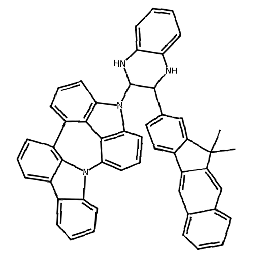 CC1(C)c2cc(C3Nc4ccccc4NC3n3c4cccc5c6cccc7c8ccccc8n(c8cccc3c8c54)c67)ccc2-c2cc3ccccc3cc21